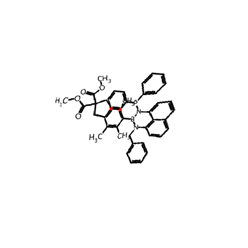 COC(=O)C1(C(=O)OC)Cc2c(C)c(C)c(B3N(Cc4ccccc4)c4cccc5cccc(c45)N3P(c3ccccc3)c3ccccc3)c(C)c2C1